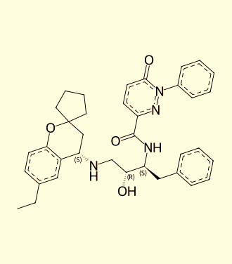 CCc1ccc2c(c1)[C@@H](NC[C@@H](O)[C@H](Cc1ccccc1)NC(=O)c1ccc(=O)n(-c3ccccc3)n1)CC1(CCCC1)O2